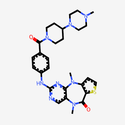 CN1CCN(C2CCN(C(=O)c3ccc(Nc4ncc5c(n4)N(C)c4ccsc4C(=O)N5C)cc3)CC2)CC1